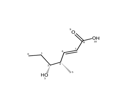 CC[C@@H](O)[C@@H](C)C=CC(=O)O